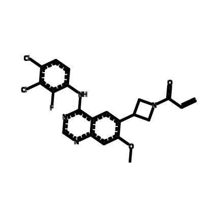 C=CC(=O)N1CC(c2cc3c(Nc4ccc(Cl)c(Cl)c4F)ncnc3cc2OC)C1